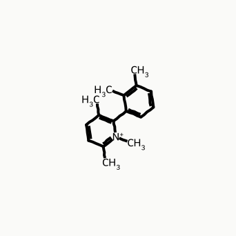 Cc1cccc(-c2c(C)ccc(C)[n+]2C)c1C